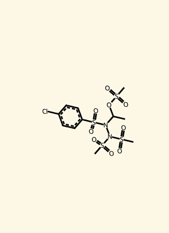 CC(OS(C)(=O)=O)N(N(S(C)(=O)=O)S(C)(=O)=O)S(=O)(=O)c1ccc(Cl)cc1